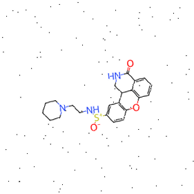 O=C1NCC2c3cc([S+]([O-])NCCN4CCCCC4)ccc3Oc3cccc1c32